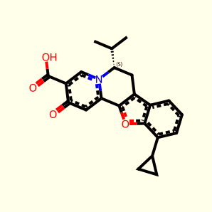 CC(C)[C@@H]1Cc2c(oc3c(C4CC4)cccc23)-c2cc(=O)c(C(=O)O)cn21